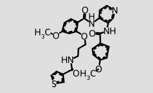 COc1ccc(C(=O)Nc2cnccc2NC(=O)c2ccc(OC)cc2OCCCNC(=O)c2ccsc2)cc1